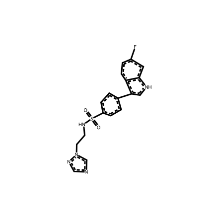 O=S(=O)(NCCn1cncn1)c1ccc(-c2c[nH]c3cc(F)ccc23)cc1